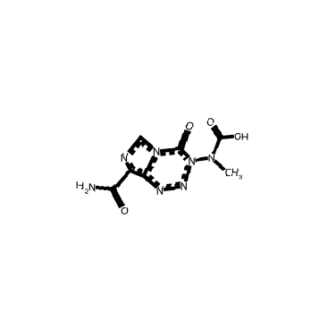 CN(C(=O)O)n1nnc2c(C(N)=O)ncn2c1=O